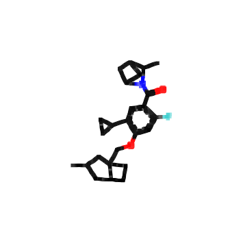 CC1CC2CCC2(COc2cc(F)c(C(=O)N3C4CC(C4)C3C)cc2C2CC2)C1